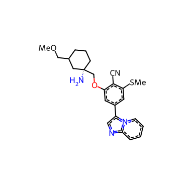 COCC1CCC[C@@](N)(COc2cc(-c3cnc4ccccn34)cc(SC)c2C#N)C1